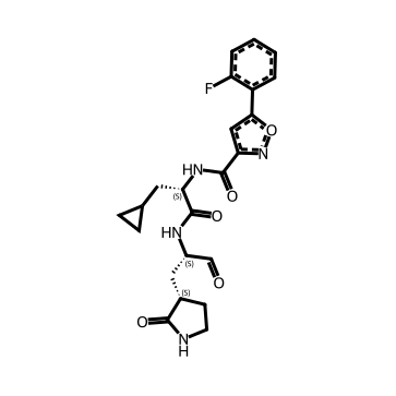 O=C[C@H](C[C@@H]1CCNC1=O)NC(=O)[C@H](CC1CC1)NC(=O)c1cc(-c2ccccc2F)on1